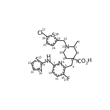 CC1CC(Cc2nc(Nc3nccs3)ccc2F)(C(=O)O)CCN1Cc1ccc(Cl)s1